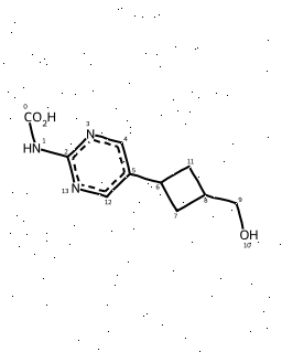 O=C(O)Nc1ncc(C2CC(CO)C2)cn1